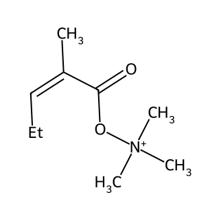 CCC=C(C)C(=O)O[N+](C)(C)C